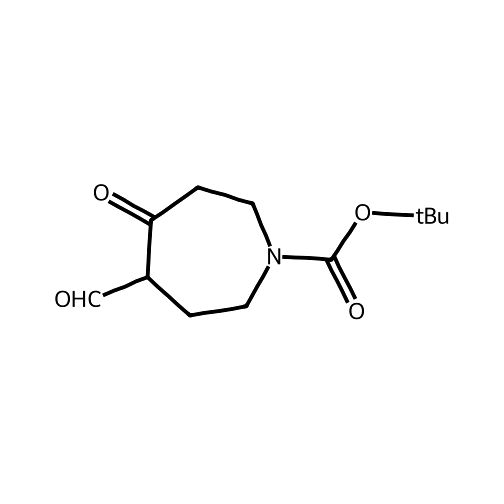 CC(C)(C)OC(=O)N1CCC(=O)C(C=O)CC1